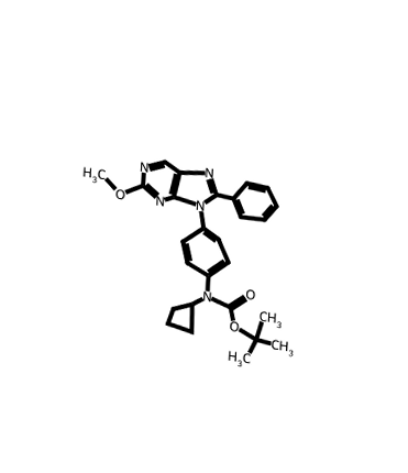 COc1ncc2nc(-c3ccccc3)n(-c3ccc(N(C(=O)OC(C)(C)C)C4CCC4)cc3)c2n1